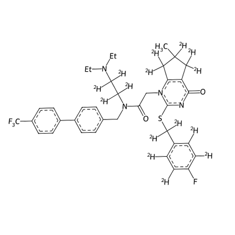 [2H]c1c([2H])c(C([2H])([2H])Sc2nc(=O)c3c(n2CC(=O)N(Cc2ccc(-c4ccc(C(F)(F)F)cc4)cc2)C([2H])([2H])C([2H])([2H])N(CC)CC)C([2H])([2H])C([2H])(C)C3([2H])[2H])c([2H])c([2H])c1F